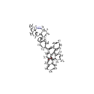 C=C/C=C\c1ccc2c(oc3ccc(-c4c5ccccc5c(-c5ccccc5-c5cccc6ccccc56)c5ccccc45)cc32)c1C